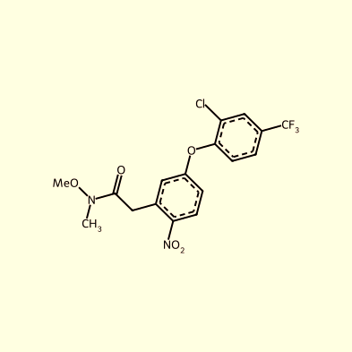 CON(C)C(=O)Cc1cc(Oc2ccc(C(F)(F)F)cc2Cl)ccc1[N+](=O)[O-]